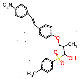 Cc1ccc(S(=O)(=O)C(O)C(C)COc2ccc(C=Cc3ccc([N+](=O)[O-])cc3)cc2)cc1